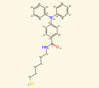 O=C(NCCCCCCS)c1ccc(N(c2ccccc2)c2ccccc2)cc1